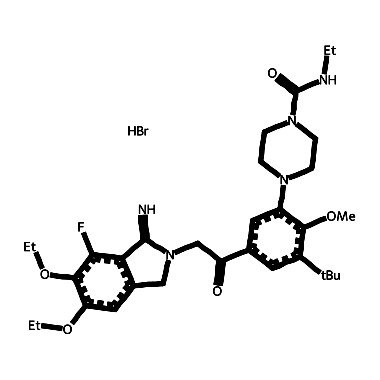 Br.CCNC(=O)N1CCN(c2cc(C(=O)CN3Cc4cc(OCC)c(OCC)c(F)c4C3=N)cc(C(C)(C)C)c2OC)CC1